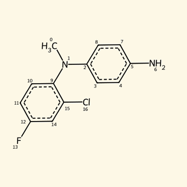 CN(c1ccc(N)cc1)c1ccc(F)cc1Cl